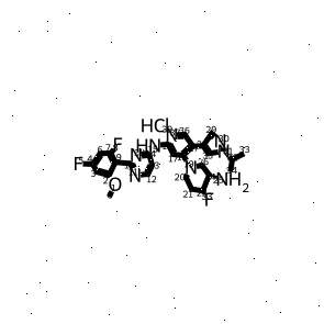 COc1cc(F)cc(F)c1-c1nccc(Nc2cc(N3CC[C@@H](F)[C@H](N)C3)c(-c3cnn(C(C)C)c3)cn2)n1.Cl